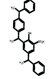 CC(c1ccccc1)c1ccc(C(C)c2cc(C(C)c3ccccc3)cc(S(=O)(=O)O)c2O)cc1